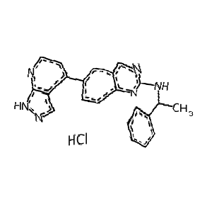 CC(Nc1ncc2cc(-c3ccnc4[nH]ncc34)ccc2n1)c1ccccc1.Cl